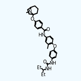 CCC(CC)NC(=O)Nc1ccc(Oc2ccc(NC(=O)c3ccc(OC45CCCC(CC4)N5C)cc3)cc2C)cc1